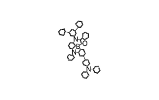 c1ccc(-c2cc(-c3ccccc3)cc(N3c4cccc5c4B(c4ccc(-c6ccc(N(c7ccccc7)c7ccccc7)cc6)cc4N5c4ccccc4)c4oc5ccccc5c43)c2)cc1